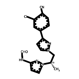 C[C@@H](Cn1ccc(-c2ccc(C#N)c(Cl)c2)n1)n1ccc(NC=O)n1